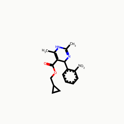 CC1=NC(c2ccccc2[N+](=O)[O-])C(C(=O)OCC2CC2)=C(C)N1